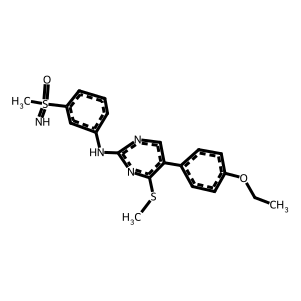 CCOc1ccc(-c2cnc(Nc3cccc(S(C)(=N)=O)c3)nc2SC)cc1